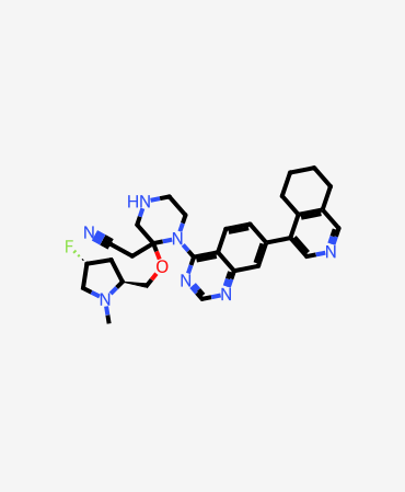 CN1C[C@H](F)C[C@H]1COC1(CC#N)CNCCN1c1ncnc2cc(-c3cncc4c3CCCC4)ccc12